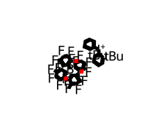 CC(C)(C)c1ccccc1[I+]c1ccccc1C(C)(C)C.Fc1c(F)c(F)c([B-](c2c(F)c(F)c(F)c(F)c2F)(c2c(F)c(F)c(F)c(F)c2F)c2c(F)c(F)c(F)c(F)c2F)c(F)c1F